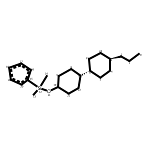 CCC[C@H]1CC[C@H](C2CCC(O[Si](C)(C)c3ccccc3)CC2)CC1